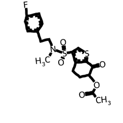 CC(=O)OC1CCc2c(S(=O)(=O)N(C)CCc3ccc(F)cc3)csc2C1=O